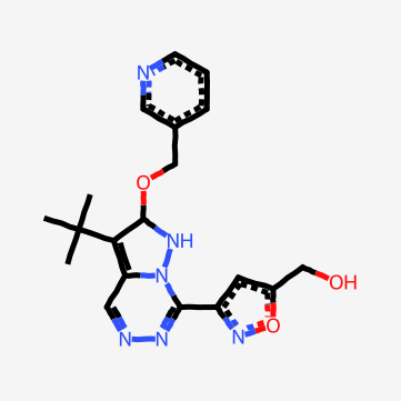 CC(C)(C)C1=C2C=NN=C(c3cc(CO)on3)N2NC1OCc1cccnc1